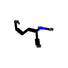 C#C/C(=C\C=C/C)NCCC